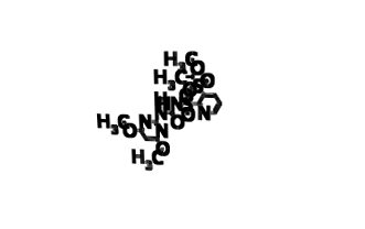 COc1cc(OC)nc(NC(=O)NS(=O)(=O)c2ncccc2S(=O)(=O)C(C)OC)n1